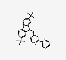 CC(C)(C)c1ccc2c(c1)C(C=C1C=CN=C(c3ccccn3)C1)c1cc(C(C)(C)C)ccc1-2